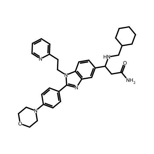 NC(=O)CC(NCC1CCCCC1)c1ccc2c(c1)nc(-c1ccc(N3CCOCC3)cc1)n2CCc1ccccn1